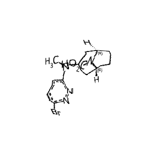 CN(c1ccc(Br)nn1)C1C[C@H]2CC[C@H](C1)N2C(=O)O